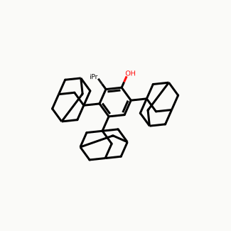 CC(C)c1c(O)c(C23CC4CC(CC(C4)C2)C3)cc(C23CC4CC(CC(C4)C2)C3)c1C12CC3CC(CC(C3)C1)C2